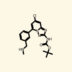 CNCc1cccc(-c2cc(Cl)cc3nc(NC(=O)OC(C)(C)C)nn23)c1